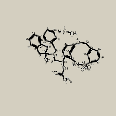 CC.CC(=O)O[C@@H](CN(Cc1ccccc1)C1(C)Cc2ccccc2C1)c1ccc2cc1NS(=O)(=O)c1cccc(c1)CO2